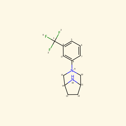 FC(F)(F)c1cccc(N2CC3CCC(C2)N3)c1